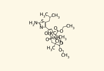 CCOC(=O)C(C)(C)CP(=O)(NC(C)(C)C(=O)OCC)c1ccc(-c2nc(N)sc2CC(C)C)o1